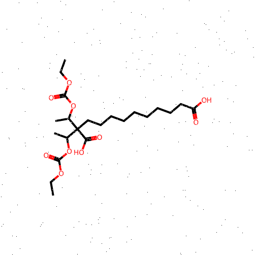 CCOC(=O)OC(C)C(CCCCCCCCCC(=O)O)(C(=O)O)C(C)OC(=O)OCC